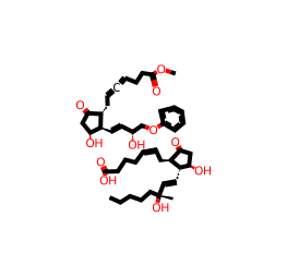 CCCCC[C@@](C)(O)/C=C/[C@H]1[C@H](O)CC(=O)[C@@H]1C/C=C\CCCC(=O)O.COC(=O)CCC=C=CC[C@H]1C(=O)C[C@@H](O)[C@@H]1/C=C/[C@@H](O)COc1ccccc1